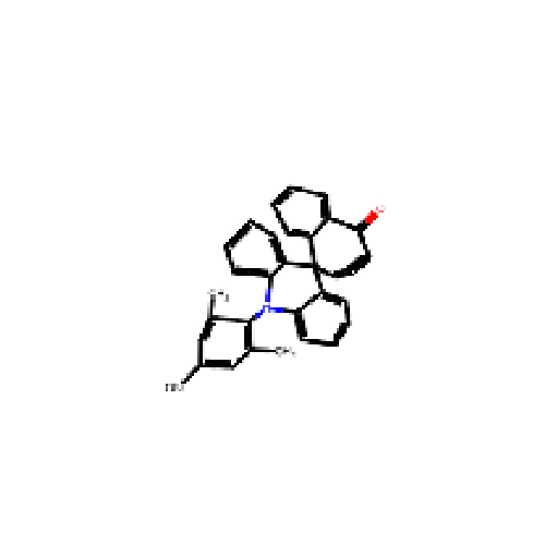 Cc1cc(C(C)(C)C)cc(C)c1N1c2ccccc2C2(c3ccccc3C(=O)c3ccccc32)c2ccccc21